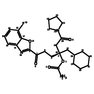 NC(=O)O[C@](CCC(=O)c1nc2cccc(F)c2o1)(CC(=O)N1CCCC1)CC1CCCCC1